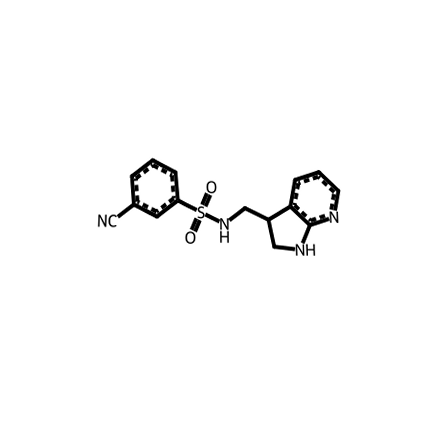 N#Cc1cccc(S(=O)(=O)NCC2CNc3ncccc32)c1